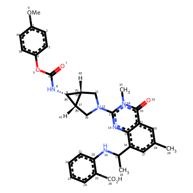 COc1ccc(OC(=O)N[C@@H]2[C@@H]3CN(c4nc5c(C(C)Nc6ccccc6C(=O)O)cc(C)cc5c(=O)n4C)C[C@@H]32)cc1